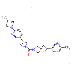 O=C(N1CC(c2ccc(N3CC(C(F)(F)F)C3)nc2)C1)N1CC2(CC(c3ccc(C(F)(F)F)nc3)C2)C1